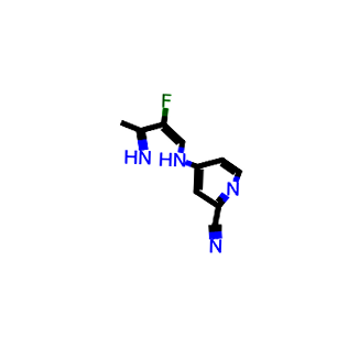 CC(=N)/C(F)=C\Nc1ccnc(C#N)c1